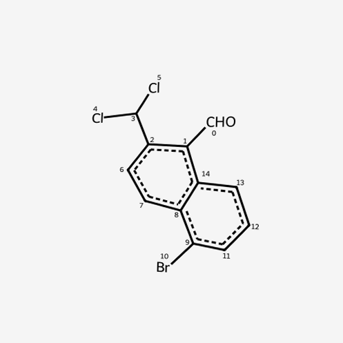 O=Cc1c(C(Cl)Cl)ccc2c(Br)cccc12